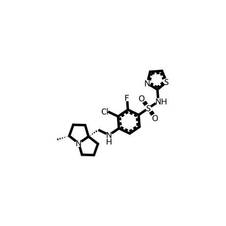 C[C@@H]1CC[C@@]2(CNc3ccc(S(=O)(=O)Nc4nccs4)c(F)c3Cl)CCCN12